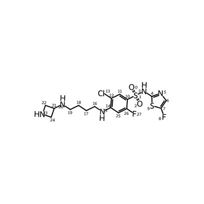 O=S(=O)(Nc1ncc(F)s1)c1cc(Cl)c(NCCCCNC2CNC2)cc1F